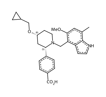 COc1cc(C)c2[nH]ccc2c1CN1CC[C@@H](OCC2CC2)C[C@H]1c1ccc(C(=O)O)cc1